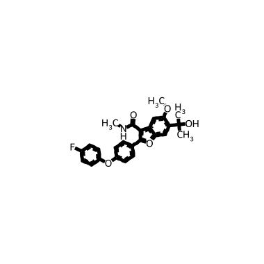 CNC(=O)c1c(-c2ccc(Oc3ccc(F)cc3)cc2)oc2cc(C(C)(C)O)c(OC)cc12